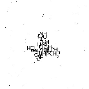 CC[C@H](C)[C@H](NC(=O)C1(F)CCC1)C(=O)N1C[C@H]2[C@@H]([C@H]1C(=O)NNC[C@@H]1CCNC1=O)C2(C)C.Cl